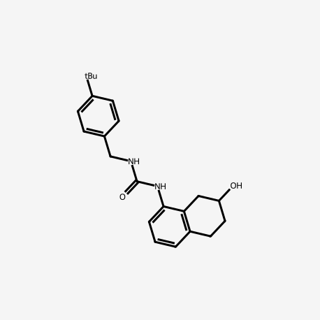 CC(C)(C)c1ccc(CNC(=O)Nc2cccc3c2CC(O)CC3)cc1